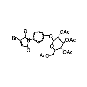 CC(=O)OC[C@H]1O[C@@H](Oc2ccc(N3C(=O)C=C(Br)C3=O)cc2)[C@H](OC(C)=O)[C@@H](OC(C)=O)[C@@H]1OC(C)=O